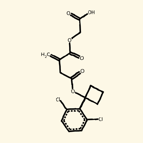 C=C(CC(=O)OC1(c2c(Cl)cccc2Cl)CCC1)C(=O)OCC(=O)O